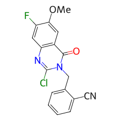 COc1cc2c(=O)n(Cc3ccccc3C#N)c(Cl)nc2cc1F